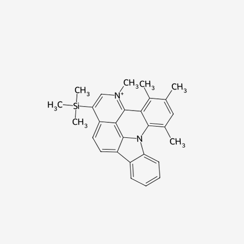 Cc1cc(C)c2c(c1C)c1c3c(ccc4c5ccccc5n2c43)c([Si](C)(C)C)c[n+]1C